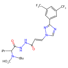 CC(C)C(C(=O)NNC(=O)C=Cn1cnc(-c2cc(C(F)(F)F)cc(C(F)(F)F)c2)n1)N(C(=O)O)C(C)(C)C